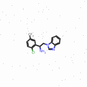 NC(Cn1cnc2ccccc21)c1cc(C(F)(F)F)ccc1Cl